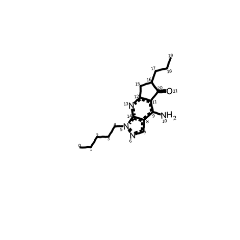 CCCCCn1ncc2c(N)c3c(nc21)CC(CCC)C3=O